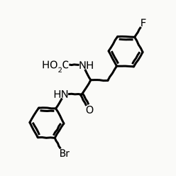 O=C(O)NC(Cc1ccc(F)cc1)C(=O)Nc1cccc(Br)c1